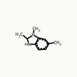 Cc1ccc2c(c1)N(C)C(C)N2